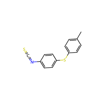 Cc1ccc(Sc2ccc(N=C=S)cc2)cc1